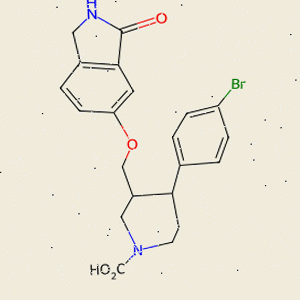 O=C1NCc2ccc(OCC3CN(C(=O)O)CCC3c3ccc(Br)cc3)cc21